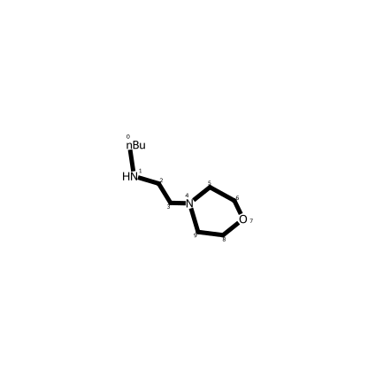 CCCCNCCN1CCOCC1